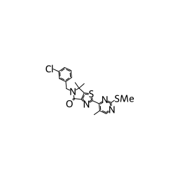 CSc1ncc(C)c(-c2nc3c(s2)C(C)(C)N(Cc2cccc(Cl)c2)C3=O)n1